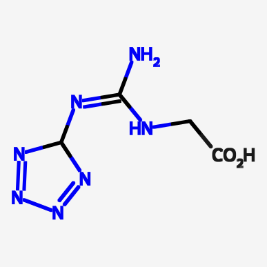 NC(=NC1N=NN=N1)NCC(=O)O